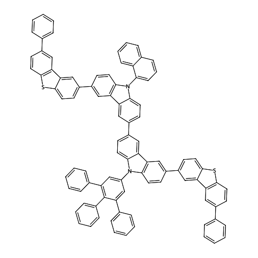 c1ccc(-c2ccc3sc4ccc(-c5ccc6c(c5)c5cc(-c7ccc8c(c7)c7cc(-c9ccc%10sc%11ccc(-c%12ccccc%12)cc%11c%10c9)ccc7n8-c7cccc8ccccc78)ccc5n6-c5cc(-c6ccccc6)c(-c6ccccc6)c(-c6ccccc6)c5)cc4c3c2)cc1